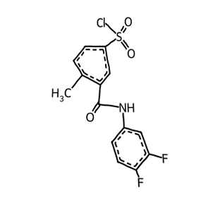 Cc1ccc(S(=O)(=O)Cl)cc1C(=O)Nc1ccc(F)c(F)c1